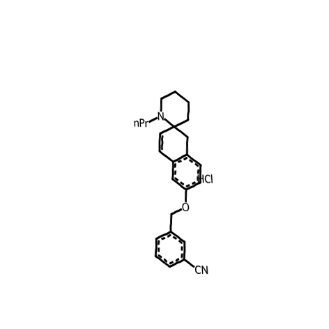 CCCN1CCCCC12C=Cc1cc(OCc3cccc(C#N)c3)ccc1C2.Cl